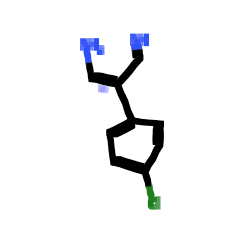 N=C/C(=C\N)c1ccc(Cl)cc1